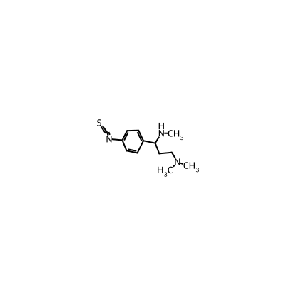 CNC(CCN(C)C)c1ccc(N=C=S)cc1